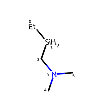 CC[SiH2]CN(C)C